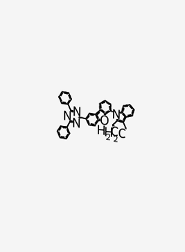 C=Cc1c(C=C)n(-c2cccc3c2oc2ccc(-c4nc(-c5ccccc5)nc(-c5ccccc5)n4)cc23)c2ccccc12